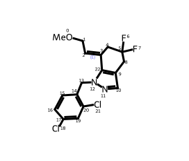 COC/C=C1\CC(F)(F)Cc2cnn(Cc3ccc(Cl)cc3Cl)c21